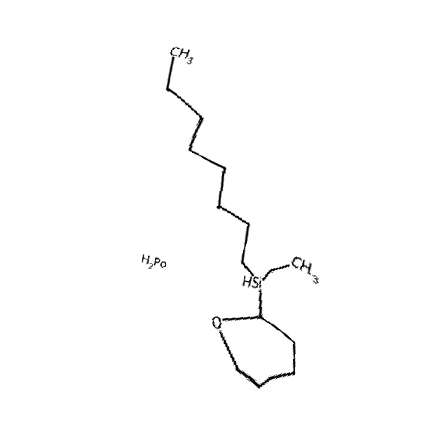 CCCCCCCC[SiH](C)C1CCCCO1.[PoH2]